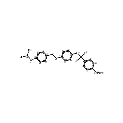 CCCCCc1ccc(C(F)(F)Oc2ccc(CCc3ccc(OC(F)F)cc3)cc2)cc1